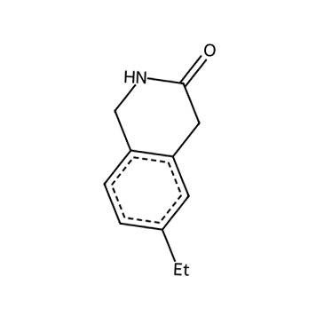 CCc1ccc2c(c1)CC(=O)NC2